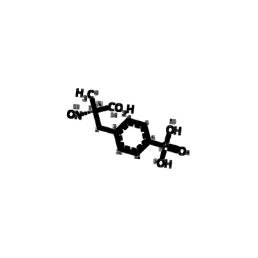 C[C@@](Cc1ccc(P(=O)(O)O)cc1)(N=O)C(=O)O